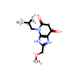 COCc1nc2c([nH]1)N(CC(C)C)C(=O)CC2=O